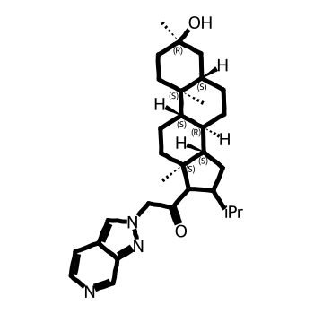 CC(C)C1C[C@H]2[C@@H]3CC[C@H]4C[C@](C)(O)CC[C@]4(C)[C@H]3CC[C@]2(C)C1C(=O)Cn1cc2ccncc2n1